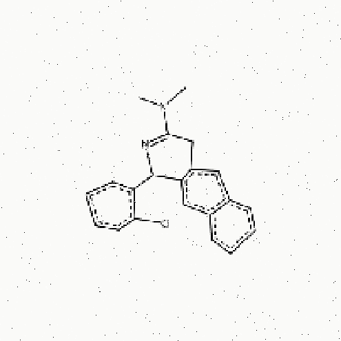 CN(C)C1=NC(c2ccccc2Cl)c2cc3ccccc3cc2C1